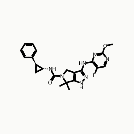 COc1ncc(F)c(Nc2n[nH]c3c2CN(C(=O)N[C@@H]2C[C@H]2c2ccccc2)C3(C)C)n1